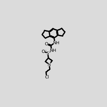 O=C(Nc1c2c(cc3c1CCC3)CCC2)N[S+]([O-])C1CN(CCCl)C1